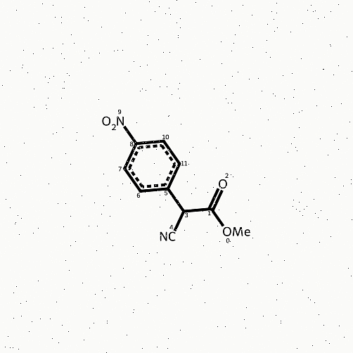 COC(=O)C(C#N)c1ccc([N+](=O)[O-])cc1